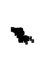 COc1ccc(OC)c(-c2csc(NC(=O)c3ccccc3NS(=O)(=O)c3ccc(F)cc3)n2)c1